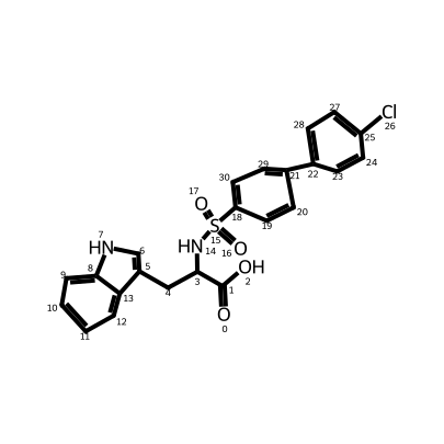 O=C(O)C(Cc1c[nH]c2ccccc12)NS(=O)(=O)c1ccc(-c2ccc(Cl)cc2)cc1